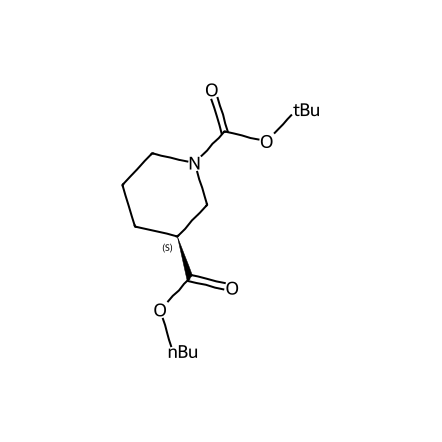 CCCCOC(=O)[C@H]1CCCN(C(=O)OC(C)(C)C)C1